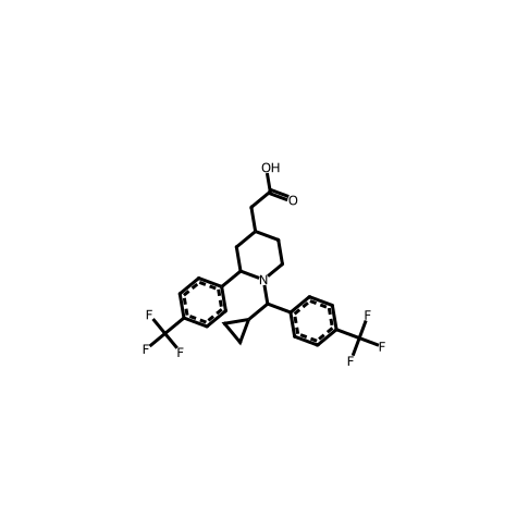 O=C(O)CC1CCN(C(c2ccc(C(F)(F)F)cc2)C2CC2)C(c2ccc(C(F)(F)F)cc2)C1